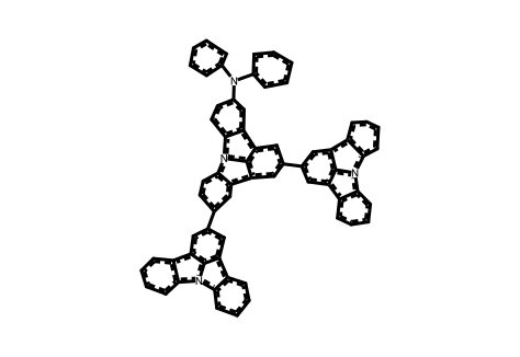 c1ccc(N(c2ccccc2)c2ccc3c(c2)c2cc(-c4cc5c6ccccc6n6c7ccccc7c(c4)c56)cc4c5cc(-c6cc7c8ccccc8n8c9ccccc9c(c6)c78)ccc5n3c42)cc1